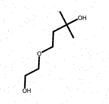 [CH2]C(C)(O)CCOCCO